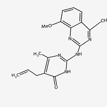 C=CCc1c(C)nc(Nc2nc(C)c3cccc(OC)c3n2)[nH]c1=O